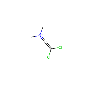 C[N+](C)=C=C(Cl)Cl